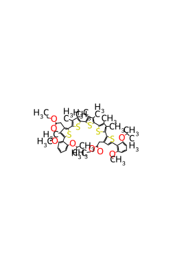 CCOC(=O)Cc1cc(-c2c(OC)cccc2OC(C)C)sc1-c1sc(-c2sc(-c3sc(-c4sc(-c5c(OC)cccc5OC(C)C)c(C)c4CC(=O)OCC)c(C)c3C)c(C)c2C)c(C)c1C